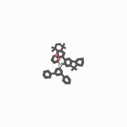 CC1(C)CCC(C)(C)c2cc(-c3cc4c(cc3N(c3ccccc3)c3cc(-c5ccccc5)cc(-c5ccccc5)c3)C(C)(C)c3ccccc3-4)ccc21